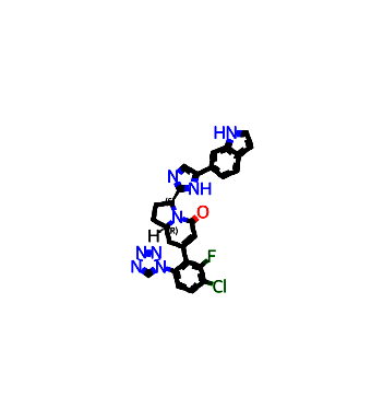 O=C1C=C(c2c(-n3cnnn3)ccc(Cl)c2F)C[C@H]2CC[C@@H](c3ncc(-c4ccc5cc[nH]c5c4)[nH]3)N12